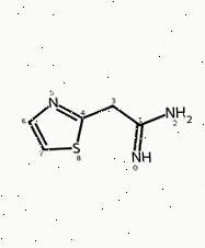 N=C(N)Cc1nccs1